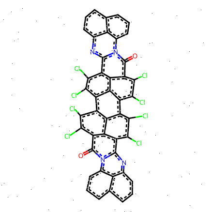 O=c1c2c(Cl)c(Cl)c3c4c(Cl)c(Cl)c5c6c(c(Cl)c(Cl)c(c7c(Cl)c(Cl)c(c2c37)c2nc3cccc7cccc(c73)n12)c46)c(=O)n1c2cccc3cccc(nc51)c32